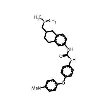 CNc1ccc(Oc2ccc(NC(=O)Nc3ccc4c(c3)CCC(CN(C)C)C4)cc2)cc1